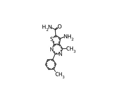 Cc1cccc(-c2nc(C)c3c(N)c(C(N)=O)sc3n2)c1